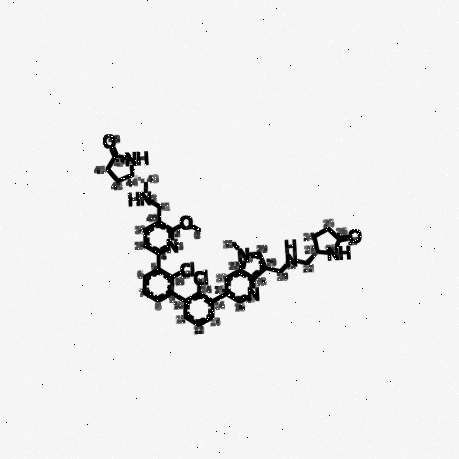 COc1nc(-c2cccc(-c3cccc(-c4cnc5c(CNC[C@H]6CCC(=O)N6)cn(C)c5c4)c3Cl)c2Cl)ccc1CNC[C@@H]1CCC(=O)N1